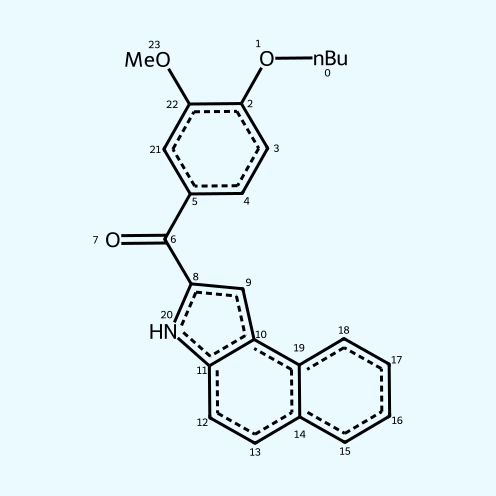 CCCCOc1ccc(C(=O)c2cc3c(ccc4ccccc43)[nH]2)cc1OC